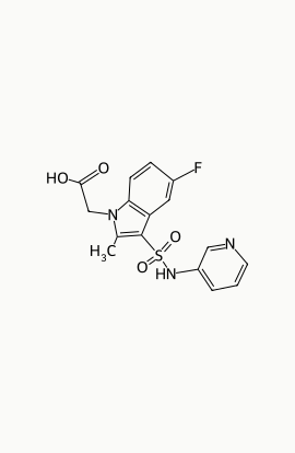 Cc1c(S(=O)(=O)Nc2cccnc2)c2cc(F)ccc2n1CC(=O)O